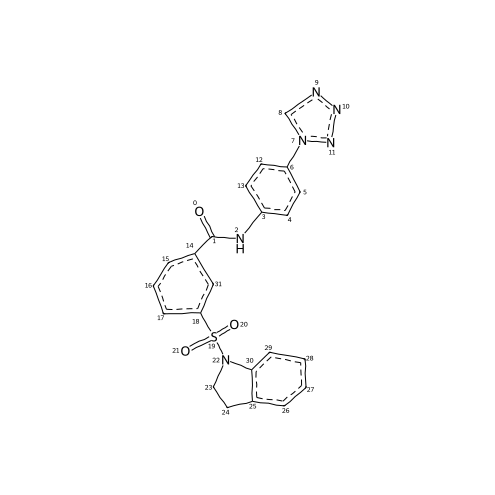 O=C(Nc1ccc(-n2cnnn2)cc1)c1cccc(S(=O)(=O)N2CCc3ccccc32)c1